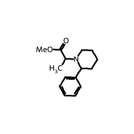 COC(=O)C(C)N1CCCCC1c1ccccc1